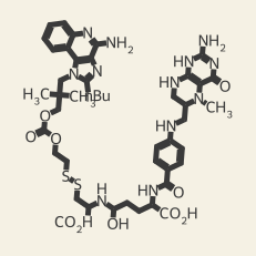 CCCCc1nc2c(N)nc3ccccc3c2n1CC(C)(C)COC(=O)OCCSSCC(NC(O)CCC(NC(=O)c1ccc(NCC2CNc3[nH]c(N)nc(=O)c3N2C)cc1)C(=O)O)C(=O)O